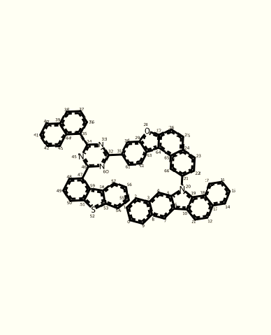 c1ccc2cc3c(cc2c1)c1ccc2ccccc2c1n3-c1ccc2ccc3oc4cc(-c5nc(-c6cccc7ccccc67)nc(-c6cccc7sc8ccccc8c67)n5)ccc4c3c2c1